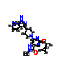 CC[C@@H](C)NC(=O)c1cc(N2CCC(c3n[nH]c4ncccc34)CC2)nc(O[C@@H](C)C2CC2)n1